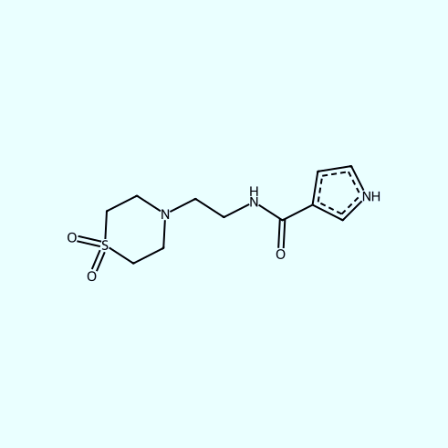 O=C(NCCN1CCS(=O)(=O)CC1)c1cc[nH]c1